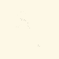 C[C@@H]1[C@@H](N=Cc2ccc([N+](=O)[O-])cc2)C(=O)N1[Si](C)(C)C(C)(C)C